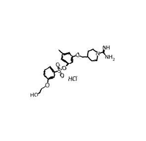 Cc1cc(OCC2CCN(C(=N)N)CC2)cc(OS(=O)(=O)c2cccc(OCCO)c2)c1.Cl